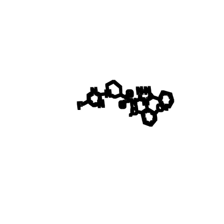 COc1cccc(OC)c1-n1c(NS(=O)(=O)C2CCCN(c3ncc(F)cn3)C2)nnc1-c1ccccc1